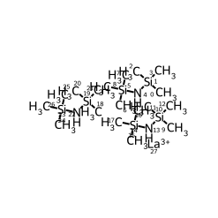 C[Si](C)(C)N[Si](C)(C)C.C[Si](C)(C)N[Si](C)(C)C.C[Si](C)(C)N[Si](C)(C)C.[La+3]